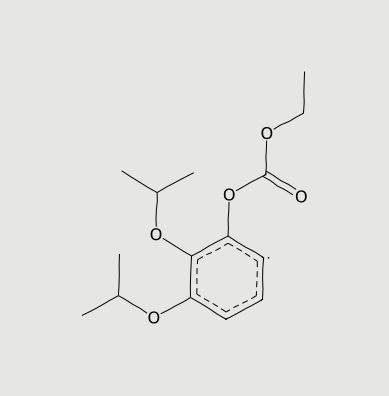 CCOC(=O)Oc1[c]ccc(OC(C)C)c1OC(C)C